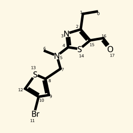 CCc1nc(N(C)Cc2cc(Br)cs2)sc1C=O